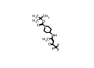 C/C(=C\C(=O)C(F)(F)F)NC1CCN(C(=O)OC(C)(C)C)CC1